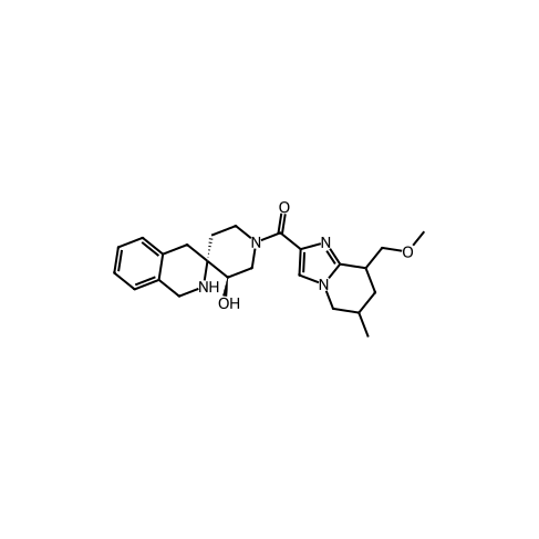 COCC1CC(C)Cn2cc(C(=O)N3CC[C@]4(Cc5ccccc5CN4)[C@H](O)C3)nc21